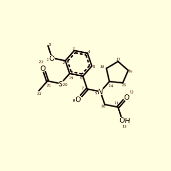 COc1cccc(C(=O)N(CC(=O)O)C2CCCC2)c1SC(C)=O